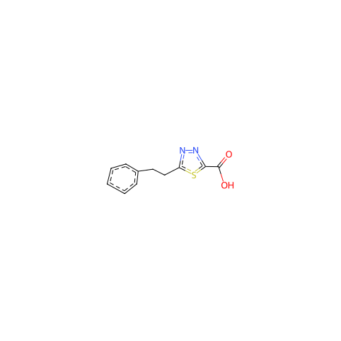 O=C(O)c1nnc(CCc2ccccc2)s1